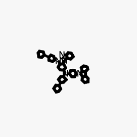 c1ccc(-c2ccc(N(c3ccc(-n4c5ccccc5c5ccccc54)cc3)c3ccc4c(c3)n3c5ccccc5nc3n4-c3ccc(-c4ccccc4)cc3)cc2)cc1